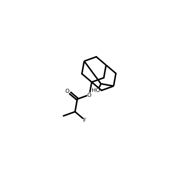 CC(F)C(=O)OC12CC3CC(C1)C(O)C(C3)C2